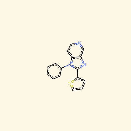 c1ccc(-n2c(-c3cccs3)nc3cnccc32)cc1